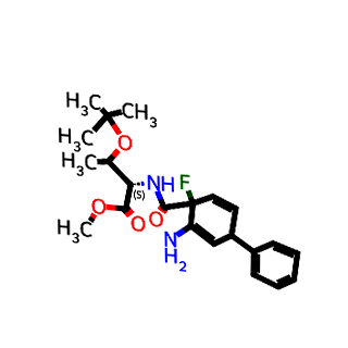 COC(=O)[C@@H](NC(=O)C1(F)C=CC(c2ccccc2)C=C1N)C(C)OC(C)(C)C